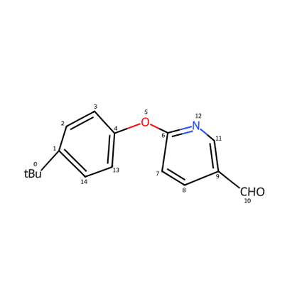 CC(C)(C)c1ccc(Oc2ccc(C=O)cn2)cc1